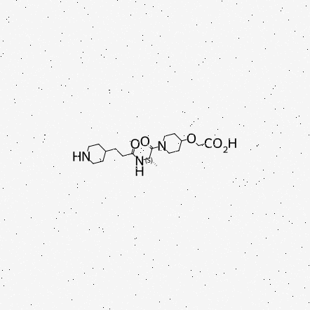 C[C@H](NC(=O)CCC1CCNCC1)C(=O)N1CCC(OCC(=O)O)CC1